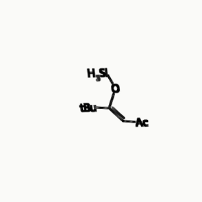 CC(=O)C=C(O[SiH3])C(C)(C)C